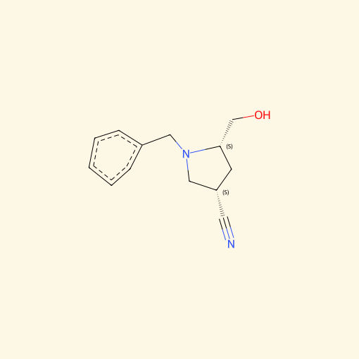 N#C[C@H]1C[C@@H](CO)N(Cc2ccccc2)C1